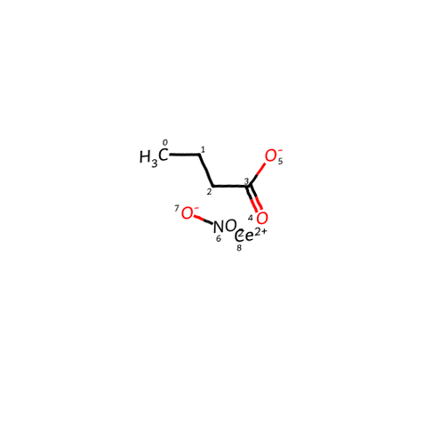 CCCC(=O)[O-].O=[N+]([O-])[O-].[Ce+2]